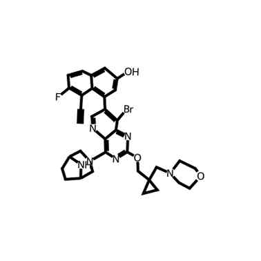 C#Cc1c(F)ccc2cc(O)cc(-c3cnc4c(N5CC6CCC(C5)N6)nc(OCC5(CN6CCOCC6)CC5)nc4c3Br)c12